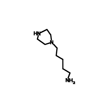 NCCCCCN1CCNCC1